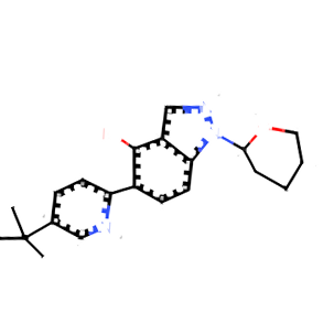 CC(C)(C)c1ccc(-c2ccc3c(cnn3C3CCCCO3)c2O)nc1